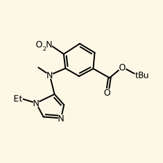 CCn1cncc1N(C)c1cc(C(=O)OC(C)(C)C)ccc1[N+](=O)[O-]